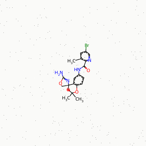 Cc1cc(Br)cnc1C(=O)Nc1ccc2c(c1)C1(COC(N)=N1)C1(COC1)C(C)(C)O2